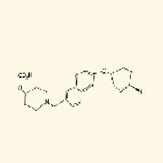 CC[C@H]1CC[C@H](Oc2ccc3cc(CN4CCC(OC(=O)O)CC4)ccc3c2)CC1